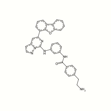 NCCc1ccc(C(=O)Nc2cccc(Nc3nc(-c4cccc5c4oc4ccccc45)cc4ccnn34)c2)cc1